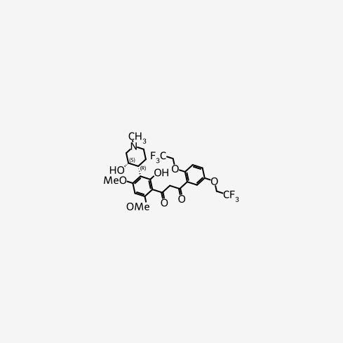 COc1cc(OC)c([C@H]2CCN(C)C[C@H]2O)c(O)c1C(=O)CC(=O)c1cc(OCC(F)(F)F)ccc1OCC(F)(F)F